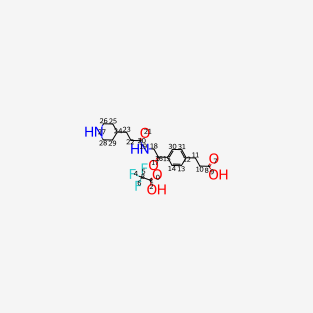 O=C(O)C(F)(F)F.O=C(O)CCc1ccc(C(=O)CNC(=O)CCC2CCNCC2)cc1